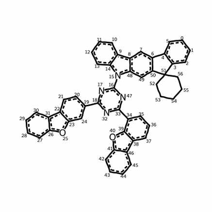 c1ccc2c(c1)-c1cc3c4ccccc4n(-c4nc(-c5ccc6c(c5)oc5ccccc56)nc(-c5cccc6c5oc5ccccc56)n4)c3cc1C21CCCCC1